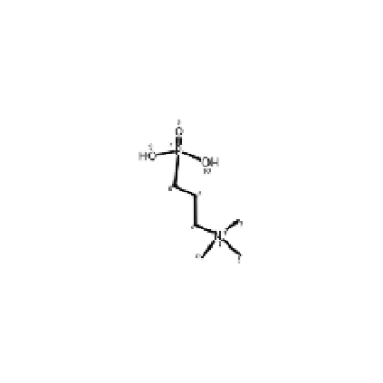 C[N+](C)(C)CCCP(=O)(O)O